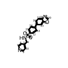 O=S(=O)(NCc1ccncc1)c1ccc(-c2ccc3ncoc3c2)cc1